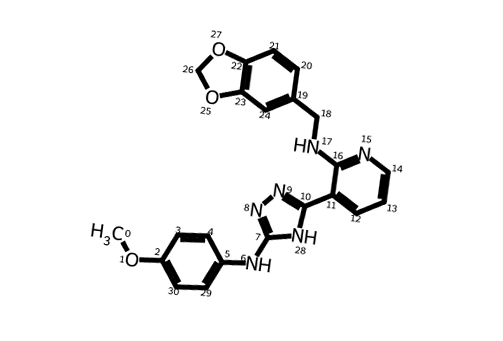 COc1ccc(Nc2nnc(-c3cccnc3NCc3ccc4c(c3)OCO4)[nH]2)cc1